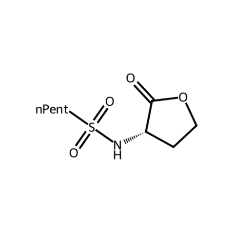 CCCCCS(=O)(=O)N[C@H]1CCOC1=O